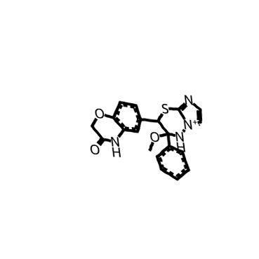 COC1(c2ccccc2)N[N+]2C=CN=C2SC1c1ccc2c(c1)NC(=O)CO2